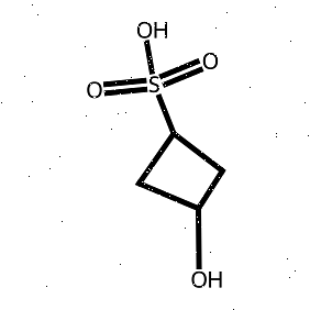 O=S(=O)(O)C1CC(O)C1